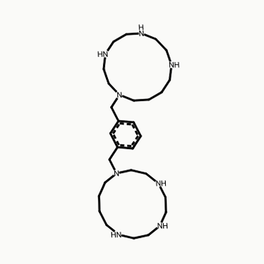 c1cc(CN2CCCCNCCNCCNCC2)cc(CN2CCCCNCCNCCNCC2)c1